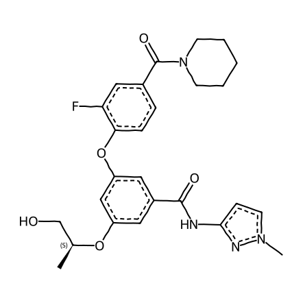 C[C@@H](CO)Oc1cc(Oc2ccc(C(=O)N3CCCCC3)cc2F)cc(C(=O)Nc2ccn(C)n2)c1